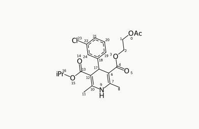 CC(=O)OCCOC(=O)C1=C(C)NC(C)=C(C(=O)OC(C)C)C1c1cccc(Cl)c1